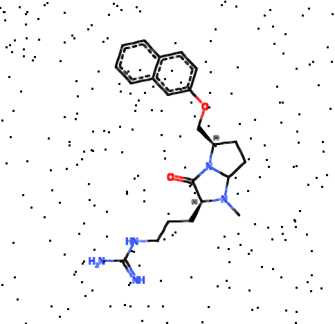 CN1C2CC[C@H](COc3ccc4ccccc4c3)N2C(=O)[C@@H]1CCCNC(=N)N